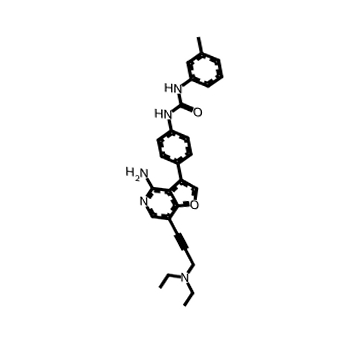 CCN(CC)CC#Cc1cnc(N)c2c(-c3ccc(NC(=O)Nc4cccc(C)c4)cc3)coc12